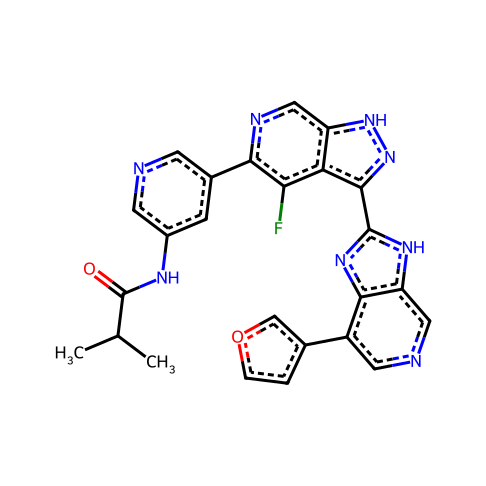 CC(C)C(=O)Nc1cncc(-c2ncc3[nH]nc(-c4nc5c(-c6ccoc6)cncc5[nH]4)c3c2F)c1